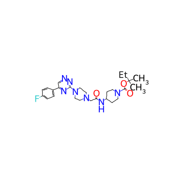 CCC(C)(C)OC(=O)N1CCC(NC(=O)CN2CCN(c3nncc(-c4ccc(F)cc4)n3)CC2)CC1